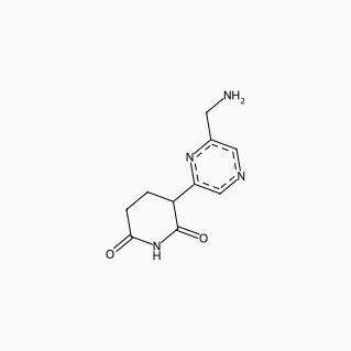 NCc1cncc(C2CCC(=O)NC2=O)n1